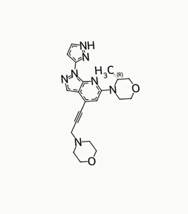 C[C@@H]1COCCN1c1cc(C#CCN2CCOCC2)c2cnn(-c3cc[nH]n3)c2n1